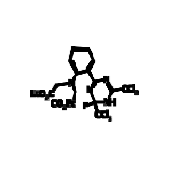 CCOC(=O)CN(CC(=O)OCC)c1ccccc1C1=NC(F)(C(Cl)(Cl)Cl)NC(C(Cl)(Cl)Cl)=N1